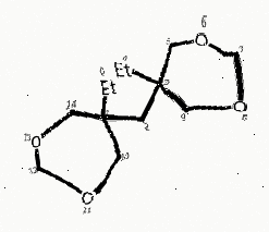 CCC1(CC2(CC)COCOC2)COCOC1